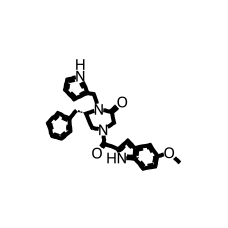 COc1ccc2[nH]c(C(=O)N3CC(=O)N(Cc4ccc[nH]4)[C@@H](Cc4ccccc4)C3)cc2c1